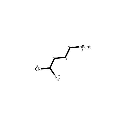 [C-]#[N+]C(CCCCCCCC)[N+]#[C-]